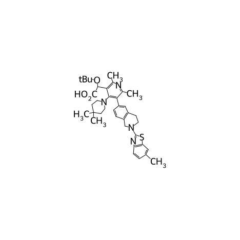 Cc1ccc2nc(N3CCc4cc(-c5c(C)nc(C)c(C(OC(C)(C)C)C(=O)O)c5N5CCC(C)(C)CC5)ccc4C3)sc2c1